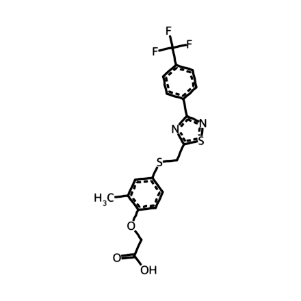 Cc1cc(SCc2nc(-c3ccc(C(F)(F)F)cc3)ns2)ccc1OCC(=O)O